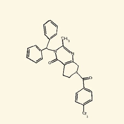 Cc1nc2c(c(=O)n1C(c1ccccc1)c1ccccc1)CCN(C(=O)c1ccc(C(F)(F)F)cc1)C2